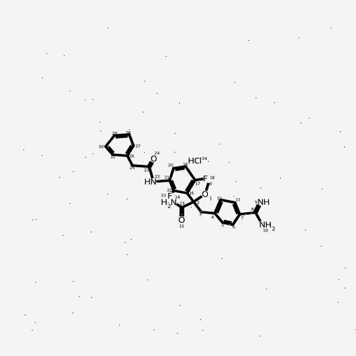 COC(Cc1ccc(C(=N)N)cc1)(C(N)=O)c1c(F)ccc(NC(=O)Cc2ccccc2)c1F.Cl